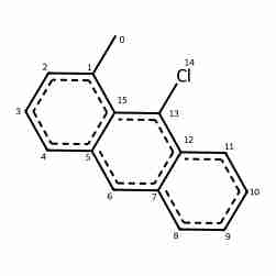 Cc1cccc2cc3ccccc3c(Cl)c12